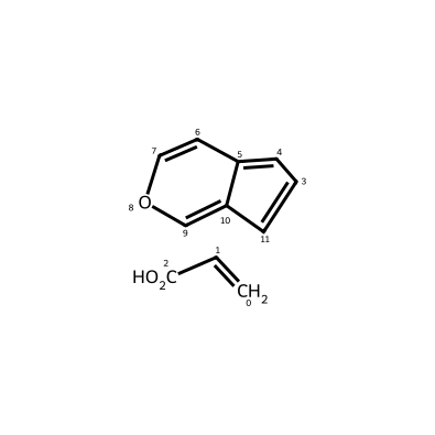 C=CC(=O)O.c1cc2ccocc-2c1